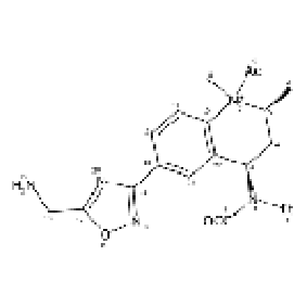 CCN(C(=O)[O-])[C@@H]1C[C@H](C)[N+](C)(C(C)=O)c2ccc(-c3noc(CN)n3)cc21